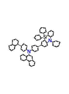 c1ccc(N2c3ccccc3[Si](c3ccccc3)(c3ccccc3)c3cc(-c4ccc(N(c5ccc(-c6cccc7ccccc67)cc5)c5cc6ccccc6c6ccccc56)cc4)ccc32)cc1